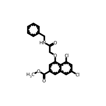 COC(=O)c1cc(OCC(=O)NCc2ccccc2)c2c(Cl)cc(Cl)cc2c1